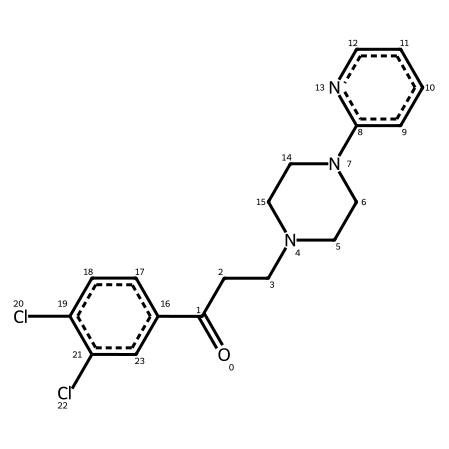 O=C(CCN1CCN(c2ccccn2)CC1)c1ccc(Cl)c(Cl)c1